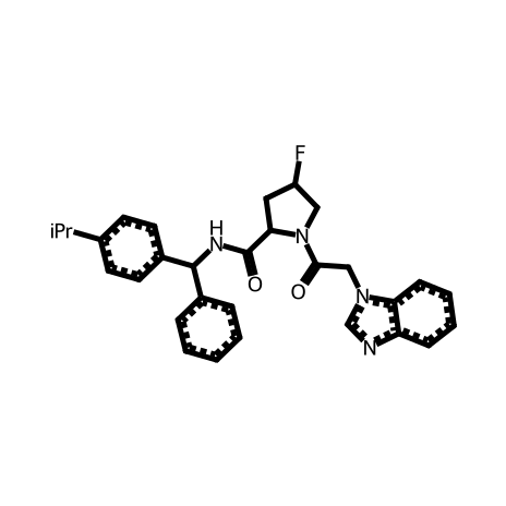 CC(C)c1ccc(C(NC(=O)C2CC(F)CN2C(=O)Cn2cnc3ccccc32)c2ccccc2)cc1